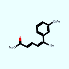 CCCC/C(=C/C=C/C(=O)OC)c1cccc(OC)c1